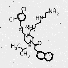 CC(C)C[C@@H]1CN(C[C@@H](N)Cc2ccc(Cl)cc2Cl)[C@@H](CCCCNCCN)CN1C(=O)Cc1ccc2ccccc2c1